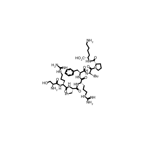 CC[C@H](C)[C@H](NC(=O)[C@H](Cc1ccccc1)NC(=O)[C@H](CCCNC(=N)N)NC(=O)[C@H](CC(C)C)NC(=O)[C@H](CCCNC(=N)N)NC(=O)[C@@H](N)CO)C(=O)N1CCC[C@H]1C(=O)N[C@@H](CCCCN)C(=O)O